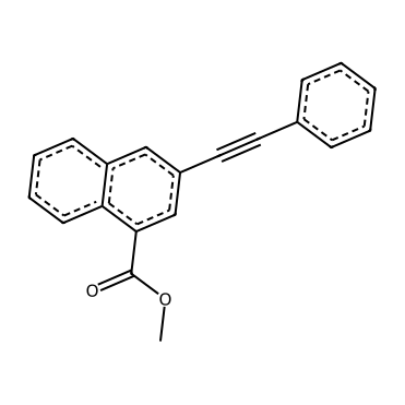 COC(=O)c1cc(C#Cc2ccccc2)cc2ccccc12